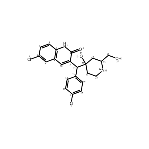 O=c1[nH]c2ccc(Cl)cc2cc1C(c1ccc(Cl)cc1)C1(O)CCNC(CO)C1